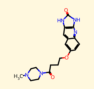 CN1CCN(C(=O)CCCOc2ccc3nc4[nH]c(=O)[nH]c4cc3c2)CC1